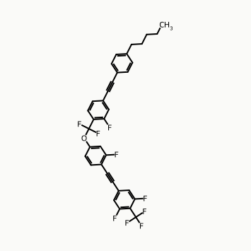 CCCCCc1ccc(C#Cc2ccc(C(F)(F)Oc3ccc(C#Cc4cc(F)c(C(F)(F)F)c(F)c4)c(F)c3)c(F)c2)cc1